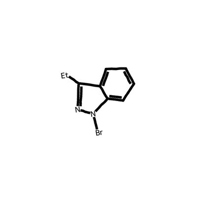 CCc1nn(Br)c2ccccc12